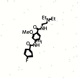 CCN(CC)CCNC(=O)c1cc([131I])c(NC(=O)c2ccc(F)cc2)cc1OC